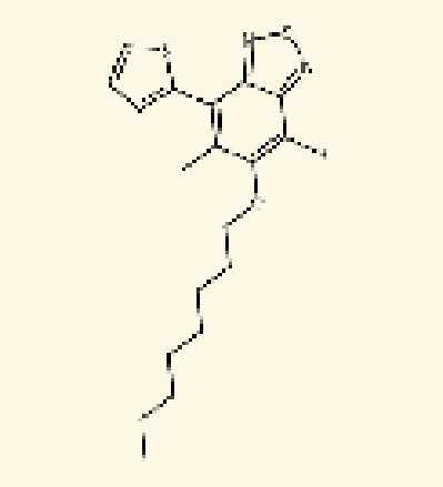 CCCCCCCCOc1c(C)c(-c2cccs2)c2nsnc2c1Br